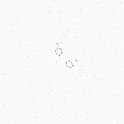 CCC(C)N(c1ccc(C(=O)N(C)C)cc1)S(=O)(=O)c1ccc(OCC2CCOCC2)c(C(=O)O)c1